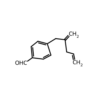 C=CCC(=C)Cc1ccc(C=O)cc1